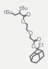 CCC1(OC(=O)COCCOC(=O)C(CC(C)(C)C)C(C)(C)C)C2CC3CC(C2)CC1C3